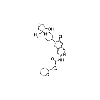 CC1(N2CCC(c3cc4cc(NC(=O)C5CC5C5CCCCO5)ncc4cc3Cl)CC2)COCC1O